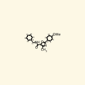 COc1ccc(-c2nc(C)c(C(=O)NCc3ccccc3)o2)cc1